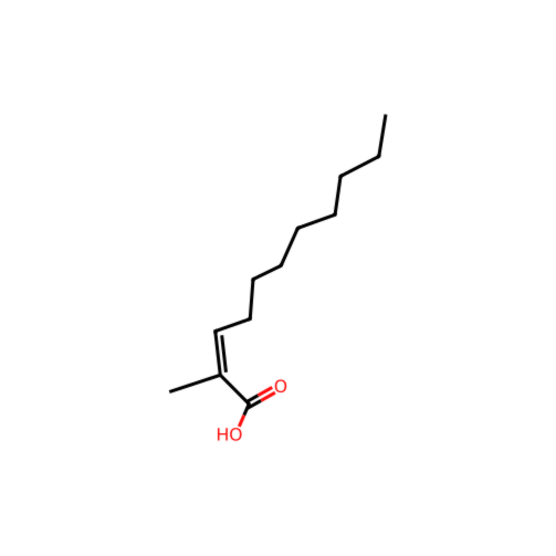 CCCCCCCCC=C(C)C(=O)O